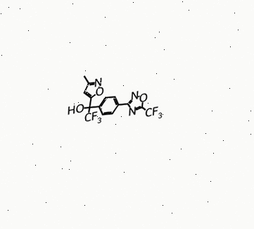 Cc1cc(C(O)(c2ccc(-c3noc(C(F)(F)F)n3)cc2)C(F)(F)F)on1